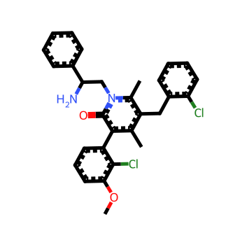 COc1cccc(-c2c(C)c(Cc3ccccc3Cl)c(C)n(CC(N)c3ccccc3)c2=O)c1Cl